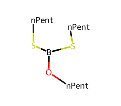 CCCCCOB(SCCCCC)SCCCCC